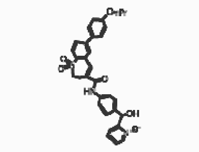 CCCOc1ccc(-c2ccc3c(c2)C=C(C(=O)Nc2ccc(C(O)c4cccc[n+]4[O-])cc2)CCS3(=O)=O)cc1